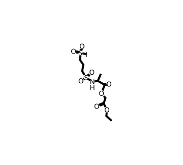 CCOC(=O)COC(=O)C(C)NS(=O)(=O)CCCS(=O)(=O)I